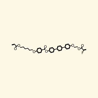 C=CC(=O)OCCCCCCOc1ccc(C(=O)Oc2ccc(-c3ccc(-c4ccc(OCCOC(=O)C(=C)F)cc4)cc3)cc2)cc1